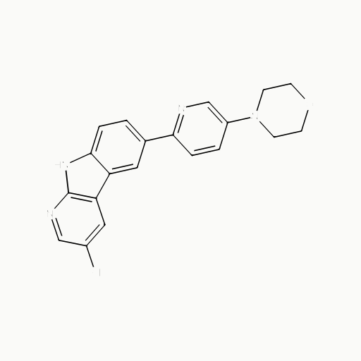 Clc1cnc2[nH]c3ccc(-c4ccc(N5CCOCC5)cn4)cc3c2c1